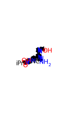 Cc1cc(-c2cc(-c3ccc(N4CCN(C(=O)[C@H](O)C(C)C)CC4)nc3)c3c(C#N)c(N)nn3c2)nn1C[C@@H](C)CO